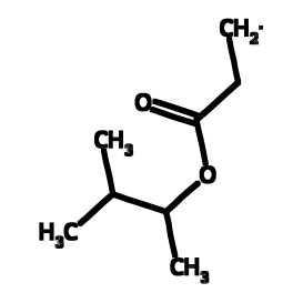 [CH2]CC(=O)OC(C)C(C)C